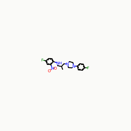 CC(CNc1ccc(F)cc1[N+](=O)[O-])CN1CCN(c2ccc(F)cc2)CC1